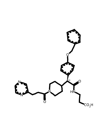 O=C(O)CCNC(=O)[C@H](c1ccc(OCc2ccccc2)cc1)C1CCN(C(=O)CCc2cnccn2)CC1